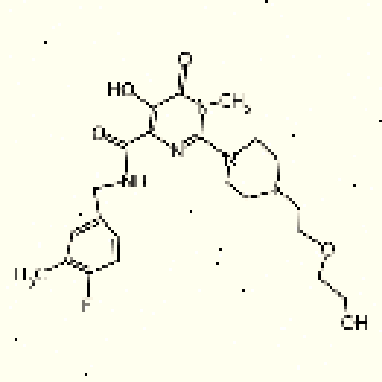 Cc1cc(CNC(=O)c2nc(N3CCN(CCOCCO)CC3)n(C)c(=O)c2O)ccc1F